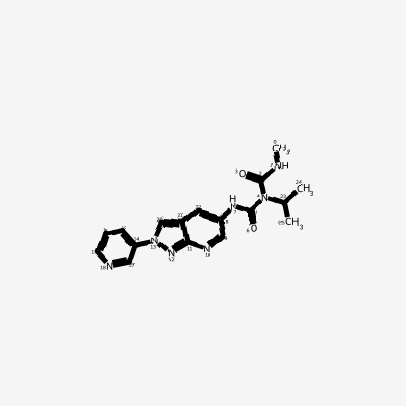 CNC(=O)N(C(=O)Nc1cnc2nn(-c3cccnc3)cc2c1)C(C)C